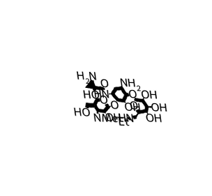 CCNC[C@H]1O[C@H](OC2[C@@H](N)C[C@@H](NC(=O)C3(O)CC3N)[C@H](O[C@H]3OC/C(=C/O)[C@H](NC)[C@H]3O)[C@H]2O)[C@H](O)[C@@H](O)[C@@H]1O